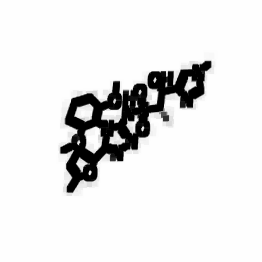 COc1cccc(OC)c1-n1c(NS(=O)(=O)[C@@H](C)[C@H](O)c2cn(C)cn2)nnc1-c1ccc(C)o1